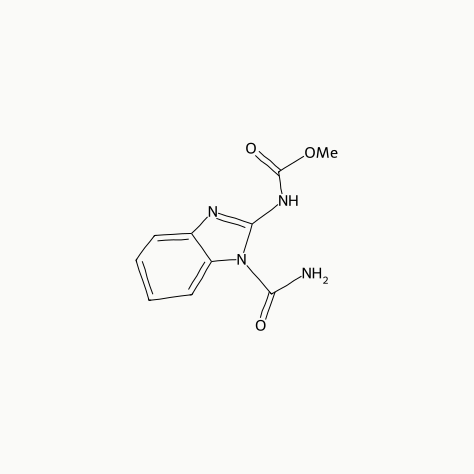 COC(=O)Nc1nc2ccccc2n1C(N)=O